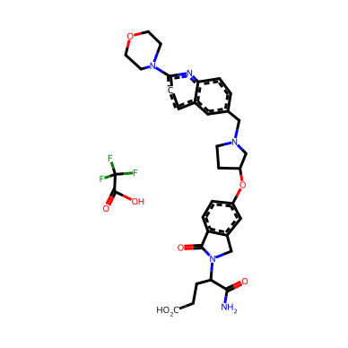 NC(=O)C(CCC(=O)O)N1Cc2cc(OC3CCN(Cc4ccc5nc(N6CCOCC6)ccc5c4)C3)ccc2C1=O.O=C(O)C(F)(F)F